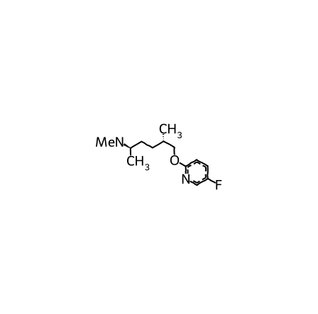 CN[C@H](C)CC[C@H](C)COc1ccc(F)cn1